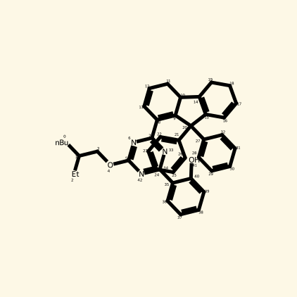 CCCCC(CC)COc1nc(C2=C3C(CC=C2)C2=C(C=CCC2)C3(c2ccccc2)c2ccccc2)nc(-c2ccccc2O)n1